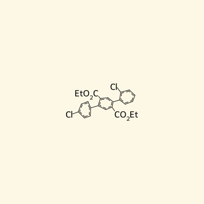 CCOC(=O)c1cc(-c2ccccc2Cl)c(C(=O)OCC)cc1-c1ccc(Cl)cc1